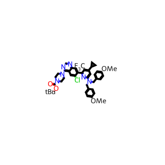 COc1ccc(CN(Cc2ccc(OC)cc2)c2cc(C3CC3)c(C(F)(F)F)c(-c3cc4ncnc(N5CCN(C(=O)OC(C)(C)C)CC5)c4cc3Cl)n2)cc1